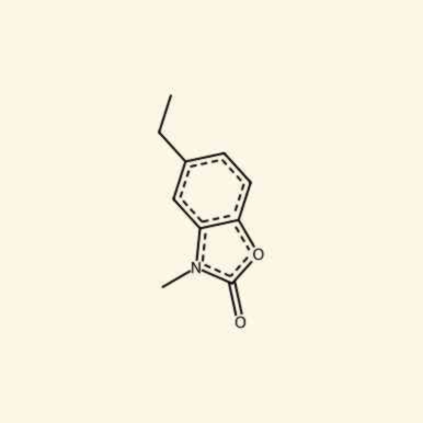 CCc1ccc2oc(=O)n(C)c2c1